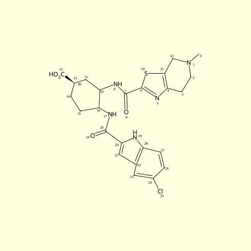 CN1CCc2nc(C(=O)NC3C[C@H](C(=O)O)CCC3NC(=O)c3cc4cc(Cl)ccc4[nH]3)sc2C1